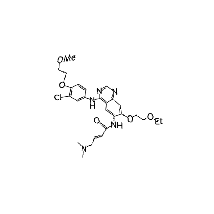 CCOCCOc1cc2ncnc(Nc3ccc(OCCOC)c(Cl)c3)c2cc1NC(=O)/C=C/CN(C)C